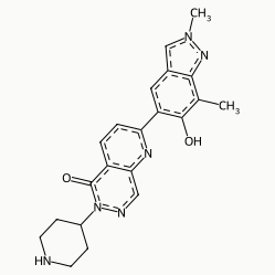 Cc1c(O)c(-c2ccc3c(=O)n(C4CCNCC4)ncc3n2)cc2cn(C)nc12